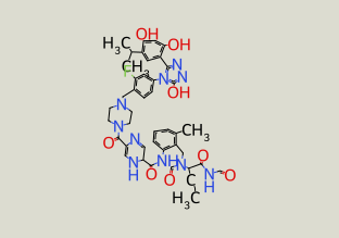 CCCC(C(=O)NC=O)N(C=O)Cc1c(C)cccc1NC(=O)C1C=NC(C(=O)N2CCN(Cc3ccc(-n4c(O)nnc4-c4cc(C(C)C)c(O)cc4O)cc3F)CC2)=CN1